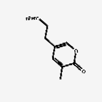 CCCCCCCc1coc(=O)c(C)c1